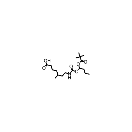 CCCC(OC(=O)NCCC(C)CCCC(=O)O)OC(=O)C(C)(C)C